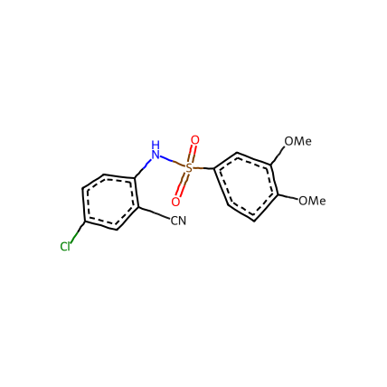 COc1ccc(S(=O)(=O)Nc2ccc(Cl)cc2C#N)cc1OC